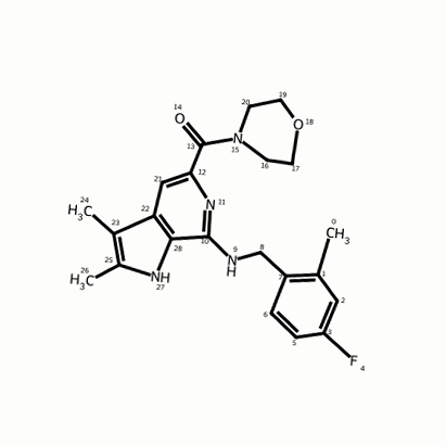 Cc1cc(F)ccc1CNc1nc(C(=O)N2CCOCC2)cc2c(C)c(C)[nH]c12